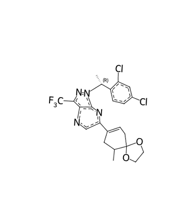 CC1CC(c2cnc3c(C(F)(F)F)nn([C@H](C)c4ccc(Cl)cc4Cl)c3n2)=CCC12OCCO2